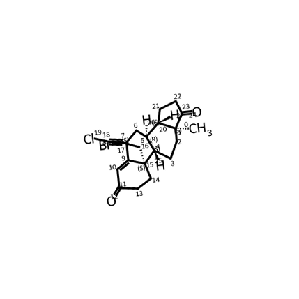 C[C@]12CC[C@H]3[C@@H](C[C@H](Br)C4=CC(=O)CC[C@@]43CC#CCl)[C@@H]1CCC2=O